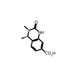 C[C@@H]1c2ccc(C(=O)O)cc2NC(=O)N1C